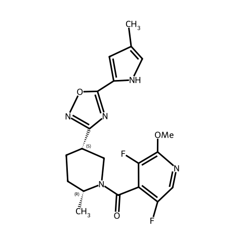 COc1ncc(F)c(C(=O)N2C[C@@H](c3noc(-c4cc(C)c[nH]4)n3)CC[C@H]2C)c1F